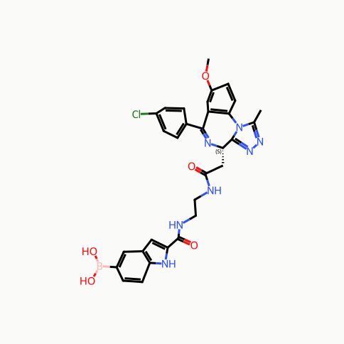 COc1ccc2c(c1)C(c1ccc(Cl)cc1)=N[C@@H](CC(=O)NCCNC(=O)c1cc3cc(B(O)O)ccc3[nH]1)c1nnc(C)n1-2